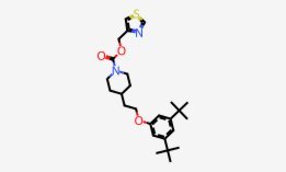 CC(C)(C)c1cc(OCCC2CCN(C(=O)OCc3cscn3)CC2)cc(C(C)(C)C)c1